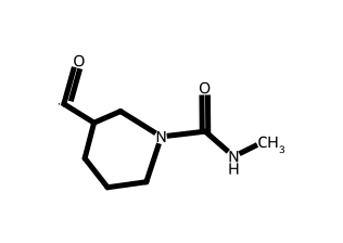 CNC(=O)N1CCCC([C]=O)C1